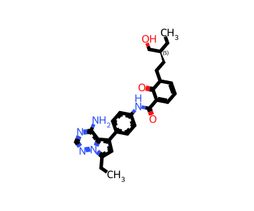 CCc1cc(-c2ccc(NC(=O)C3=CC=CC(CC[C@H](CC)CO)C3=O)cc2)c2c(N)ncnn12